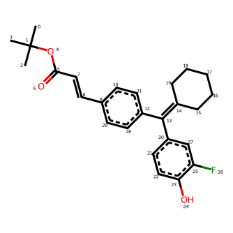 CC(C)(C)OC(=O)C=Cc1ccc(C(=C2CCCCC2)c2ccc(O)c(F)c2)cc1